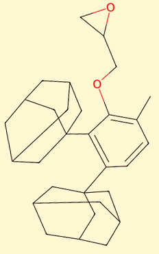 Cc1ccc(C23CC4CC(CC(C4)C2)C3)c(C23CC4CC(CC(C4)C2)C3)c1OCC1CO1